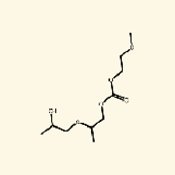 COCCOC(=O)OCC(C)OCC(C)O